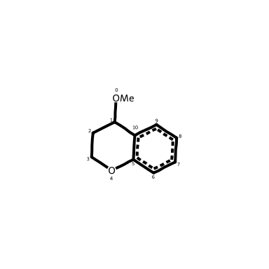 COC1CCOc2ccccc21